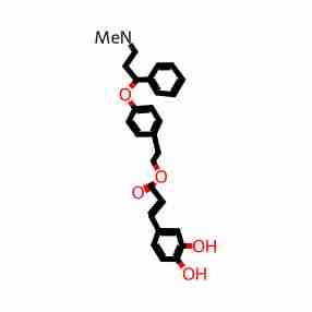 CNCCC(Oc1ccc(CCOC(=O)C=Cc2ccc(O)c(O)c2)cc1)c1ccccc1